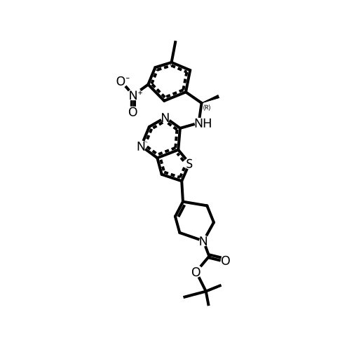 Cc1cc([C@@H](C)Nc2ncnc3cc(C4=CCN(C(=O)OC(C)(C)C)CC4)sc23)cc([N+](=O)[O-])c1